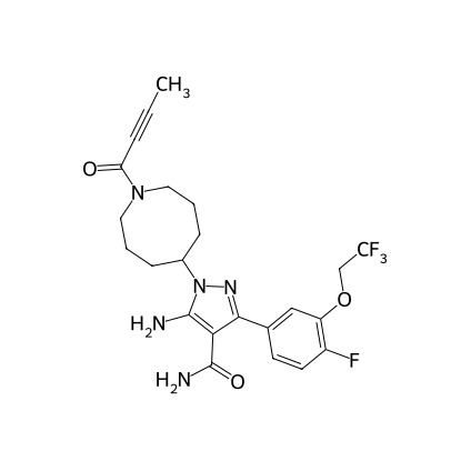 CC#CC(=O)N1CCCC(n2nc(-c3ccc(F)c(OCC(F)(F)F)c3)c(C(N)=O)c2N)CCC1